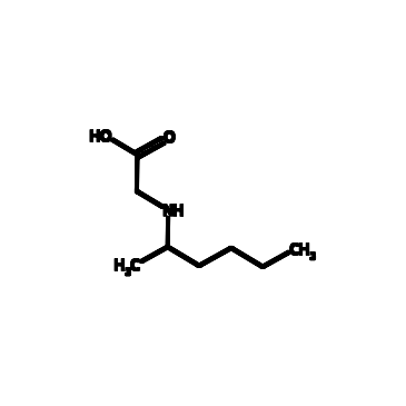 CCCCC(C)NCC(=O)O